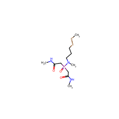 CNC(=O)CP(=O)(CC(=O)NC)N(C)CCCSSC